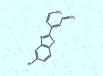 C=C/C=C(\C=C/C)c1nc2cc(C(C)C)ccc2o1